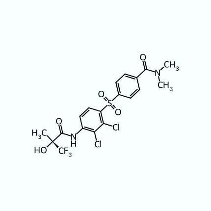 CN(C)C(=O)c1ccc(S(=O)(=O)c2ccc(NC(=O)[C@@](C)(O)C(F)(F)F)c(Cl)c2Cl)cc1